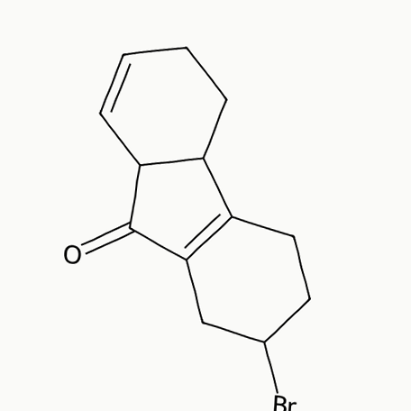 O=C1C2=C(CCC(Br)C2)C2CCC=CC12